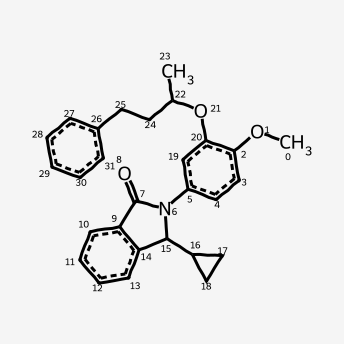 COc1ccc(N2C(=O)c3ccccc3C2C2CC2)cc1OC(C)CCc1ccccc1